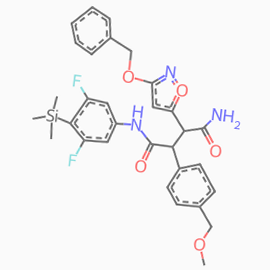 COCc1ccc(C(C(=O)Nc2cc(F)c([Si](C)(C)C)c(F)c2)C(C(N)=O)c2cc(OCc3ccccc3)no2)cc1